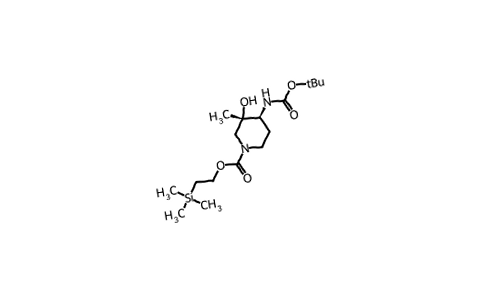 CC(C)(C)OC(=O)N[C@H]1CCN(C(=O)OCC[Si](C)(C)C)C[C@]1(C)O